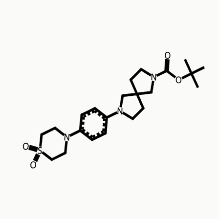 CC(C)(C)OC(=O)N1CCC2(CCN(c3ccc(N4CCS(=O)(=O)CC4)cc3)C2)C1